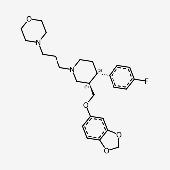 Fc1ccc([C@H]2CCN(CCCN3CCOCC3)C[C@@H]2COc2ccc3c(c2)OCO3)cc1